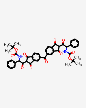 CC(C)(C)OC(=O)N[C@@H](C(=O)C1C(=O)c2ccc(C(=O)c3ccc4c(c3)C(=O)C(C(=O)[C@H](NC(=O)OC(C)(C)C)c3ccccc3)C4=O)cc2C1=O)c1ccccc1